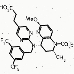 CCOC(=O)N1c2ccc(OC)nc2[C@@H](N(Cc2cc(C(F)(F)F)cc(C(F)(F)F)c2)c2ncc(CCC(=O)O)cn2)C[C@H]1C